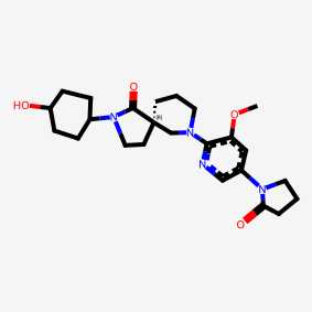 COc1cc(N2CCCC2=O)cnc1N1CCC[C@@]2(CCN(C3CCC(O)CC3)C2=O)C1